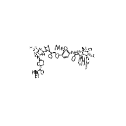 CCNC(=O)[C@@H]1CC[C@H](n2cnc3c(N)nc(NC(=O)COc4ccc(NC(=O)c5nc6c(c(=O)n(CC)c(=O)n6CC)n5C)cc4OC)nc32)O1